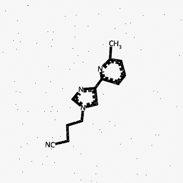 Cc1cccc(-c2cn(CCCC#N)cn2)n1